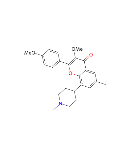 COc1ccc(-c2oc3c(C4CCN(C)CC4)cc(C)cc3c(=O)c2OC)cc1